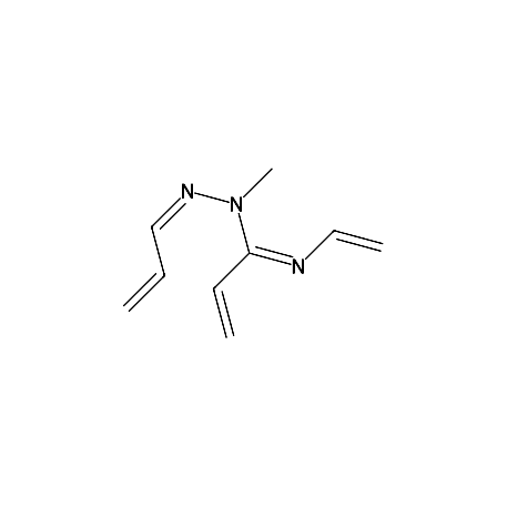 C=C/C=N\N(C)/C(C=C)=N\C=C